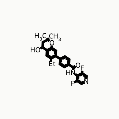 CCc1cc2c(cc1-c1ccc(C(=O)Nc3c(F)cncc3F)cc1)OC(C)(C)CC2O